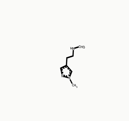 Cn1cc(CCNC=O)cn1